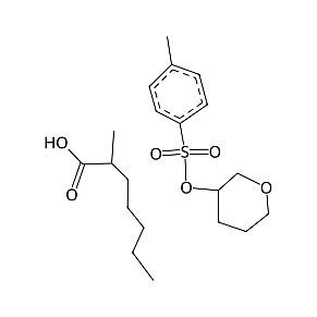 CCCCCC(C)C(=O)O.Cc1ccc(S(=O)(=O)OC2CCCOC2)cc1